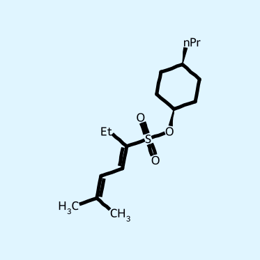 CCC[C@H]1CC[C@@H](OS(=O)(=O)/C(=C/C=C(C)C)CC)CC1